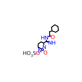 N=C(NC(=O)CC1CCCCC1)C1CCC2CN1C(=O)N2OS(=O)(=O)O